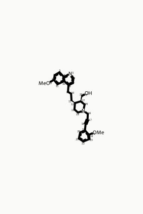 COc1ccc2nccc(CCC[C@@H]3CCN(CC#Cc4ccccc4OC)C[C@@H]3CO)c2c1